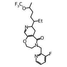 CCC(CCC(C)OC(F)(F)F)C1CC2=C(C=N1)OCCN(Cc1ncccc1F)C2=O